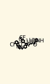 O=C(NCCCn1cc(-c2ccc(OC(F)(F)F)cc2)c2cc(CN3CCN(Cc4c(Cl)cccc4Cl)CC3)ccc21)C1CNCCN1